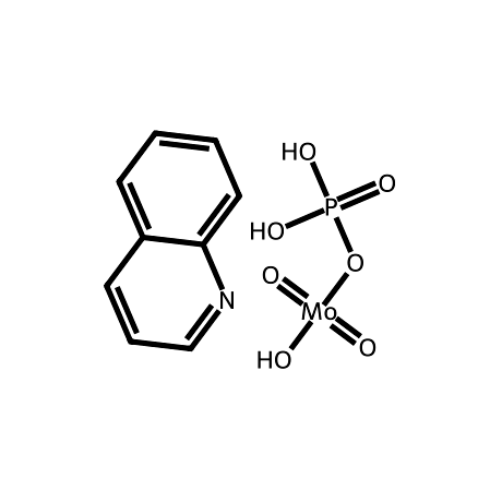 O=P(O)(O)[O][Mo](=[O])(=[O])[OH].c1ccc2ncccc2c1